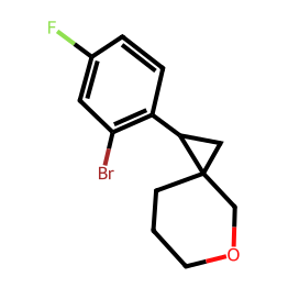 Fc1ccc(C2CC23CCCOC3)c(Br)c1